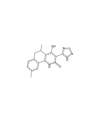 Cc1ccc2c(c1)-c1[nH]c(=O)c(-c3ncn[nH]3)c(O)c1C(C)C2